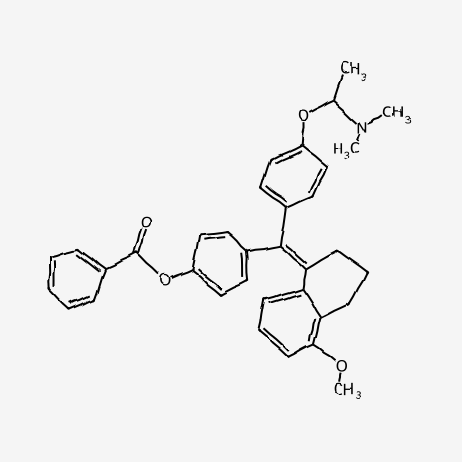 COc1cccc2c1CCCC2=C(c1ccc(OC(=O)c2ccccc2)cc1)c1ccc(OC(C)N(C)C)cc1